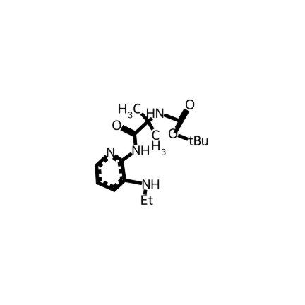 CCNc1cccnc1NC(=O)C(C)(C)NC(=O)OC(C)(C)C